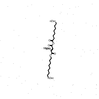 CCCCCCCCCCCCCCCCCCOC(=O)/C=C/C(=O)OC(=O)CCCCCCCCCCCCCCCCC.[MgH2].[NaH]